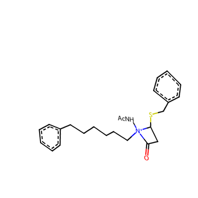 CC(=O)N[N+]1(CCCCCCc2ccccc2)C(=O)CC1SCc1ccccc1